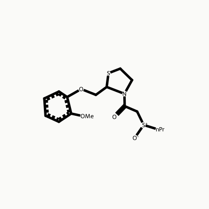 CCC[S+]([O-])CC(=O)N1CCSC1COc1ccccc1OC